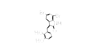 O=C1Nc2c(Br)cc(Br)cc2C1=Cc1cccc(O)c1O